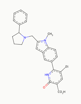 CCc1cc(C(=O)O)c(=O)[nH]c1-c1ccc2c(c1)cc(CN1CCCC1c1ccccc1)n2C